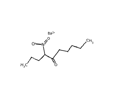 CCCCCC(=O)C(CCC)[N+](=O)[O-].[Ba+2]